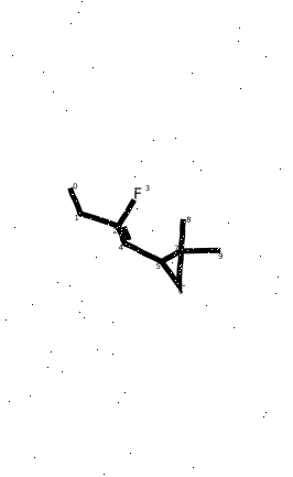 CCC(F)=CC1[CH]C1(C)C